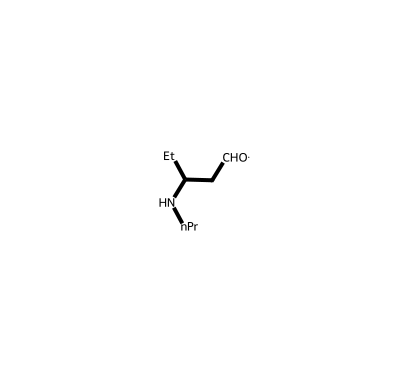 CCCNC(CC)C[C]=O